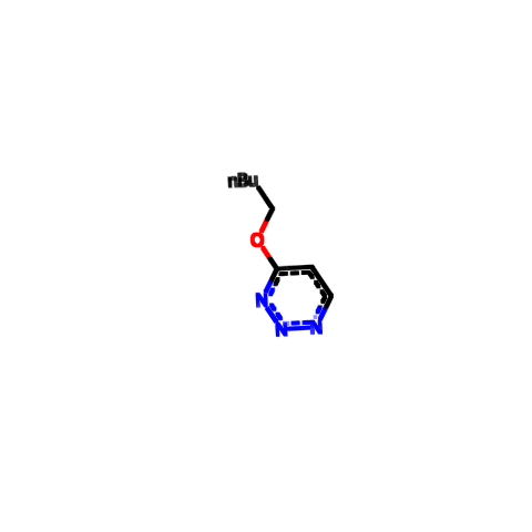 CCCCCOc1ccnnn1